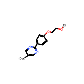 CCCCCCCCCCc1cnc(-c2ccc(OCCOCC)cc2)nc1